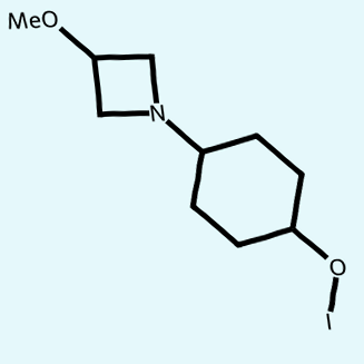 COC1CN(C2CCC(OI)CC2)C1